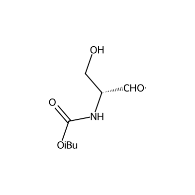 CC(C)COC(=O)N[C@@H]([C]=O)CO